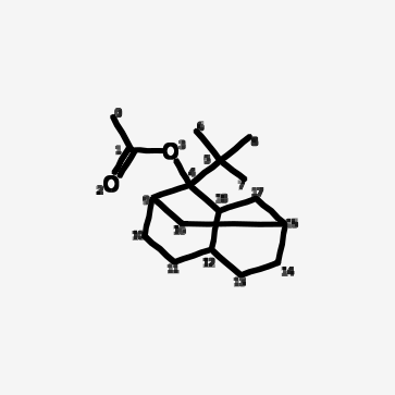 CC(=O)OC1(C(C)(C)C)C2CCC3CCC(C2)CC31